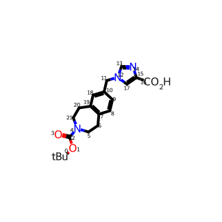 CC(C)(C)OC(=O)N1CCc2ccc(Cn3cnc(C(=O)O)c3)cc2CC1